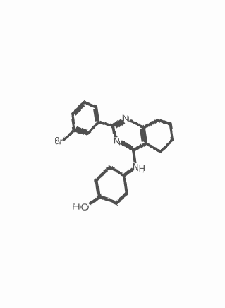 OC1CCC(Nc2nc(-c3cccc(Br)c3)nc3c2CCCC3)CC1